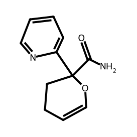 NC(=O)C1(c2ccccn2)CCC=CO1